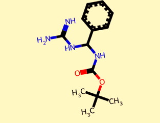 CC(C)(C)OC(=O)NC(NC(=N)N)c1ccccc1